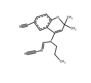 CCCN(/C=N/C#N)C1=CC(C)(C)Oc2ccc(C#N)cc21